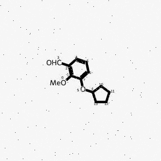 COc1c(C=O)cccc1OC1CCCC1